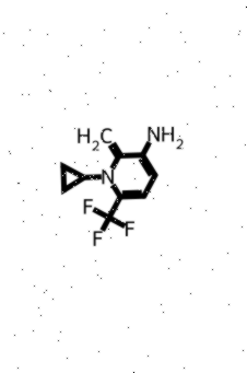 C=C1C(N)=CC=C(C(F)(F)F)N1C1CC1